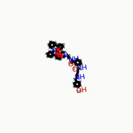 O=C(CCNCc1ccc(O)cc1)Nc1cccc(C(=O)NCCN2CCC(OC(=O)N(c3ccccc3-c3ccccc3)c3ccccc3-c3ccccc3)CC2)c1